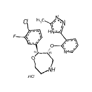 Cc1nnc(-c2cccnc2O[C@@H]2CNCCO[C@H]2c2ccc(Cl)c(F)c2)[nH]1.Cl